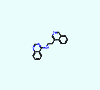 c1ccc2c(CCNc3ncnc4ccccc34)cncc2c1